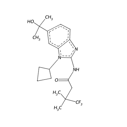 CC(C)(O)c1ccc2nc(NC(=O)CC(C)(C)C(F)(F)F)n(C3CCC3)c2c1